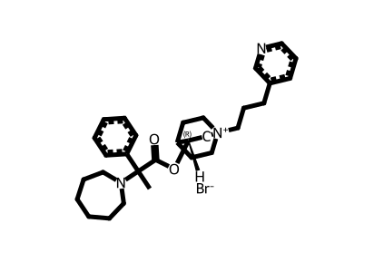 CC(C(=O)O[C@H]1C[N+]2(CCCc3cccnc3)CCC1CC2)(c1ccccc1)N1CCCCCC1.[Br-]